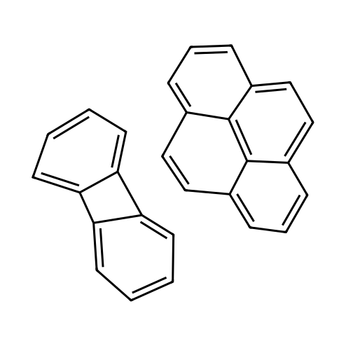 c1cc2ccc3cccc4ccc(c1)c2c34.c1ccc2c(c1)-c1ccccc1-2